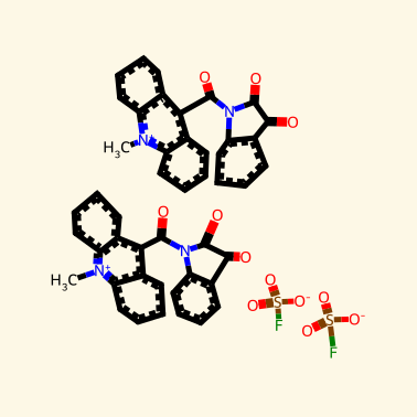 C[n+]1c2ccccc2c(C(=O)N2C(=O)C(=O)c3ccccc32)c2ccccc21.C[n+]1c2ccccc2c(C(=O)N2C(=O)C(=O)c3ccccc32)c2ccccc21.O=S(=O)([O-])F.O=S(=O)([O-])F